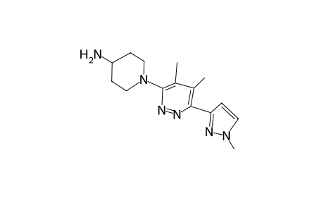 Cc1c(-c2ccn(C)n2)nnc(N2CCC(N)CC2)c1C